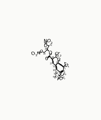 CCc1cc(S(F)(F)(F)(F)F)cc2c1O[C@H](C(F)(F)F)C(C(=O)OC(CO[N+](=O)[O-])CO[N+](=O)[O-])=C2